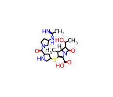 CC(=N)NC1CCN(C(=O)C2CC(SC3=C(C(=O)O)N4C(=O)C(C(C)O)[C@@H]4C3C)CN2)C1